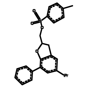 Cc1ccc(S(=O)(=O)OCC2Cc3cc(C(C)C)cc(-c4ccccc4)c3O2)cc1